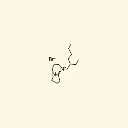 CCCCC(CC)C[N+]1=C2CCCN2CCC1.[Br-]